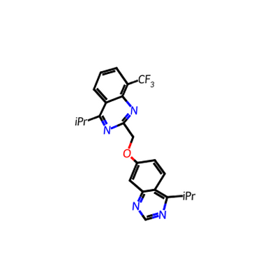 CC(C)c1ncnc2cc(OCc3nc(C(C)C)c4cccc(C(F)(F)F)c4n3)ccc12